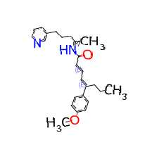 CCC/C(=C\C=C\C(=O)N[C@H](C)CCCc1cccnc1)c1ccc(OC)cc1